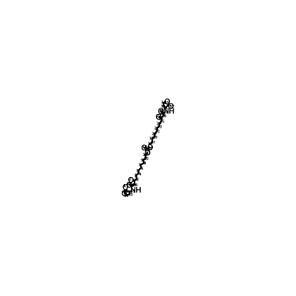 O=C(CCCCCCCCCCO[N+](=O)OCCCCCCCCCCC(=O)CC(=O)NC1CCOC1=O)CC(=O)NC1CCOC1=O